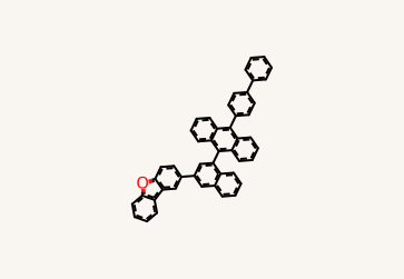 c1ccc(-c2ccc(-c3c4ccccc4c(-c4cc(-c5ccc6oc7ccccc7c6c5)cc5ccccc45)c4ccccc34)cc2)cc1